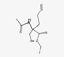 C=CCCC(CO)(NC(C)=O)C(=O)OCC